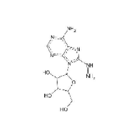 NNc1nc2c(N)ncnc2n1C1OC(CO)C(O)C1O